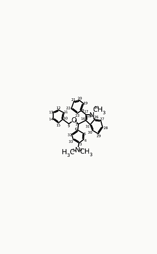 CN(C)c1ccc(C(OCc2ccccc2)c2c(-c3ccccc3)n(C)c3ccccc23)cc1